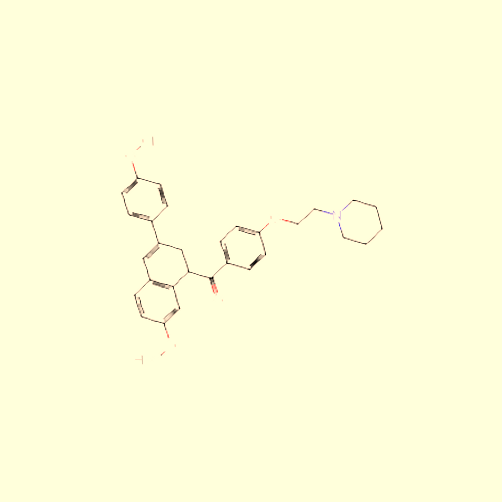 COc1ccc(C2=Cc3ccc(OC)cc3C(C(=O)c3ccc(OCCN4CCCCC4)cc3)C2)cc1